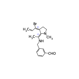 C=C/C(Br)=C1/CCN(C)/C1=C(/C)NCc1cccc(C=O)c1